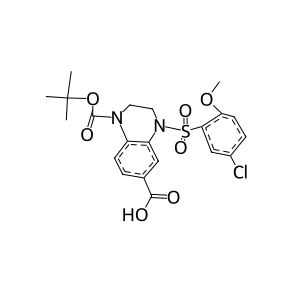 COc1ccc(Cl)cc1S(=O)(=O)N1CCN(C(=O)OC(C)(C)C)c2ccc(C(=O)O)cc21